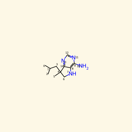 CC(C)CC1(C)CNc2c(N)ncnc21